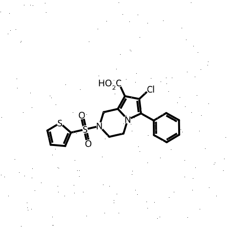 O=C(O)c1c(Cl)c(-c2ccccc2)n2c1CN(S(=O)(=O)c1cccs1)CC2